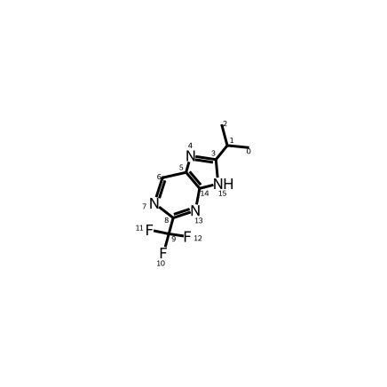 CC(C)c1nc2cnc(C(F)(F)F)nc2[nH]1